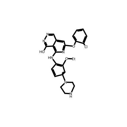 CCOc1cc(N2CCNCC2)ccc1Nc1nc(Oc2ccccc2Cl)cc2cnnc(O)c12